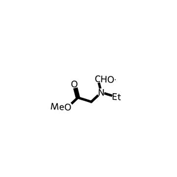 CCN([C]=O)CC(=O)OC